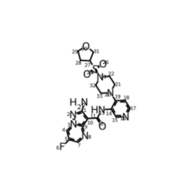 Nc1nn2cc(F)cnc2c1C(=O)Nc1cnccc1N1CCN(S(=O)(=O)C2CCOC2)CC1